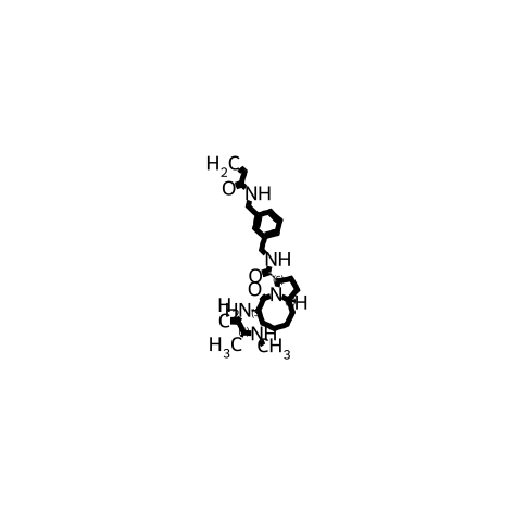 C=CC(=O)NCc1cccc(CNC(=O)[C@@H]2CC[C@@H]3CCCC[C@H](NC(=C)[C@H](C)NC)C(=O)N32)c1